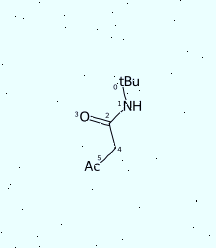 [CH2]C(C)(C)NC(=O)CC(C)=O